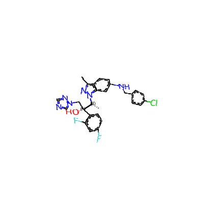 Cc1nn([C@H](C)[C@](O)(Cn2cncn2)c2ccc(F)cc2F)c2cc(NCc3ccc(Cl)cc3)ccc12